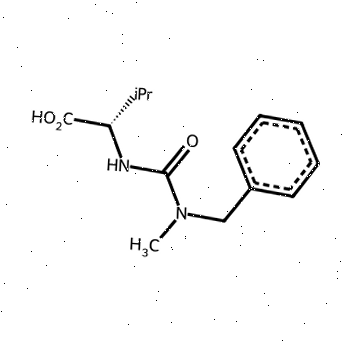 CC(C)[C@H](NC(=O)N(C)Cc1ccccc1)C(=O)O